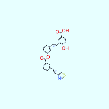 O=C(O)c1ccc(O)c(/C=C/c2cccc(OC(=O)c3cccc(/C=C/c4cscn4)c3)c2)c1